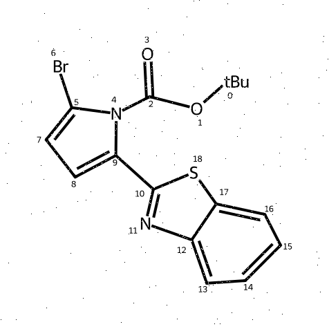 CC(C)(C)OC(=O)n1c(Br)ccc1-c1nc2ccccc2s1